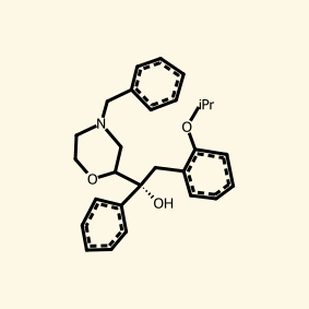 CC(C)Oc1ccccc1C[C@@](O)(c1ccccc1)C1CN(Cc2ccccc2)CCO1